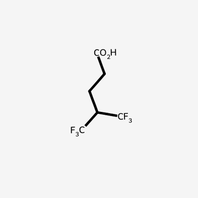 O=C(O)CCC(C(F)(F)F)C(F)(F)F